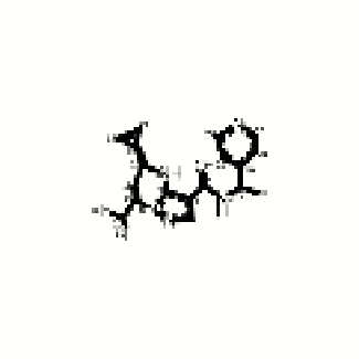 CC(NC(=O)c1cnn2c1NC(=C1C=C1)C=C2C(F)F)c1ccncc1